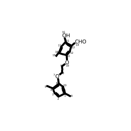 Cc1ccc(C)c(OCCOc2cc(C=O)c(O)cc2C)c1